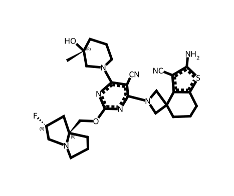 C[C@@]1(O)CCCN(c2nc(OC[C@@]34CCCN3C[C@H](F)C4)nc(N3CC4(CCCc5sc(N)c(C#N)c54)C3)c2C#N)C1